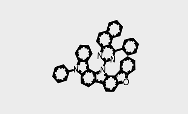 c1ccc(-c2nc(-n3c4c(ccc5oc6ccccc6c54)c4ccc5c(c6ccccc6n5-c5ccccc5)c43)nc3ccc4ccccc4c23)cc1